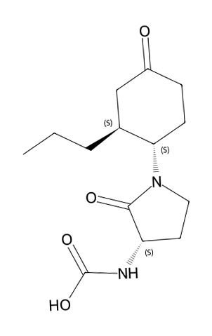 CCC[C@H]1CC(=O)CC[C@@H]1N1CC[C@H](NC(=O)O)C1=O